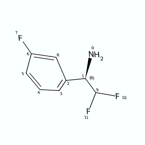 N[C@H](c1cccc(F)c1)C(F)F